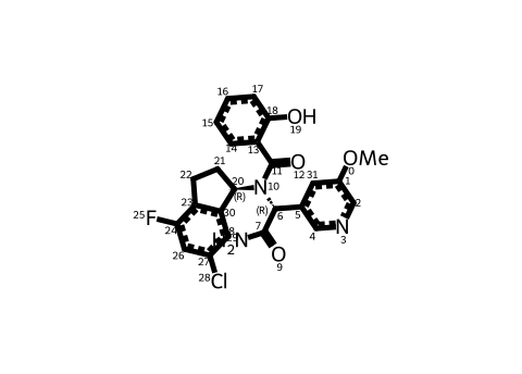 COc1cncc([C@H](C(N)=O)N(C(=O)c2ccccc2O)[C@@H]2CCc3c(F)cc(Cl)cc32)c1